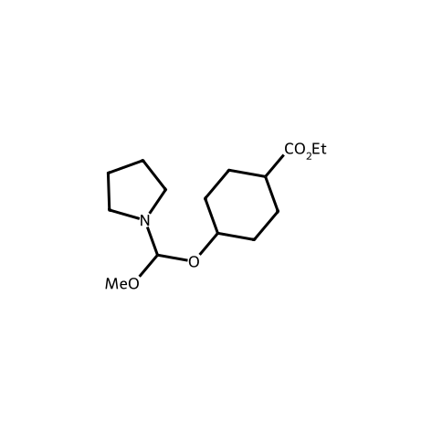 CCOC(=O)C1CCC(OC(OC)N2CCCC2)CC1